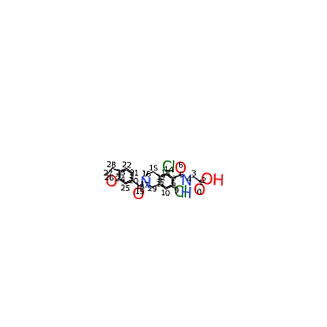 O=C(O)CNC(=O)c1c(Cl)cc2c(c1Cl)CCN(C(=O)c1ccc3c(c1)OCC3)C2